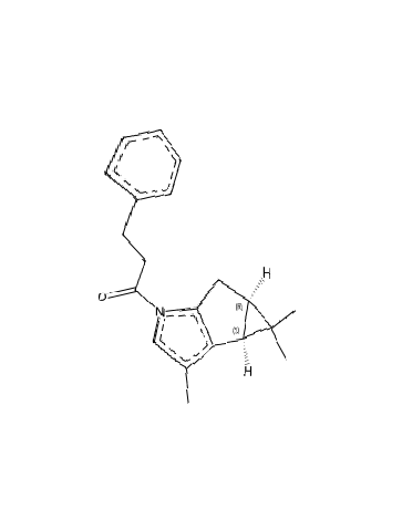 Cc1cn(C(=O)CCc2ccccc2)c2c1[C@H]1[C@@H](C2)C1(C)C